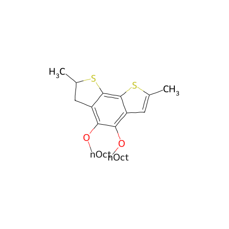 CCCCCCCCOc1c2c(c3sc(C)cc3c1OCCCCCCCC)SC(C)C2